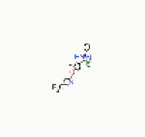 Cc1cc(-c2[nH]c(C3CCCC3)nc2Cl)ccc1OCc1ccc(C(F)(F)F)cn1